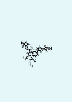 CC(=O)N1c2ccc(-c3cnn(C4CNC4)c3)cc2N(C(=O)O[C@H]2CCC2(F)F)CC1C